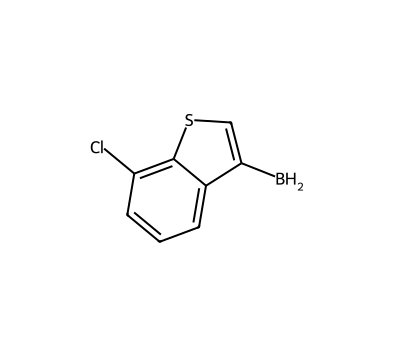 Bc1csc2c(Cl)cccc12